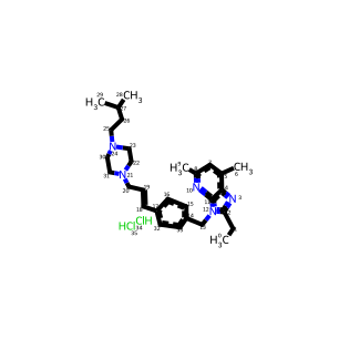 CCc1nc2c(C)cc(C)nc2n1Cc1ccc(C=CCN2CCN(CCC(C)C)CC2)cc1.Cl.Cl